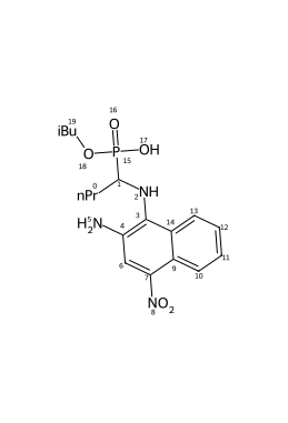 CCCC(Nc1c(N)cc([N+](=O)[O-])c2ccccc12)P(=O)(O)OC(C)CC